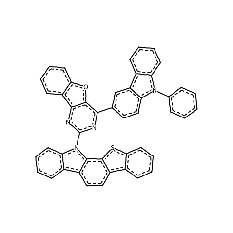 c1ccc(-n2c3ccccc3c3cc(-c4nc(-n5c6ccccc6c6ccc7c8ccccc8sc7c65)nc5c4oc4ccccc45)ccc32)cc1